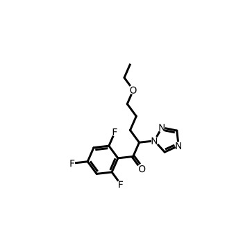 CCOCCCC(C(=O)c1c(F)cc(F)cc1F)n1cncn1